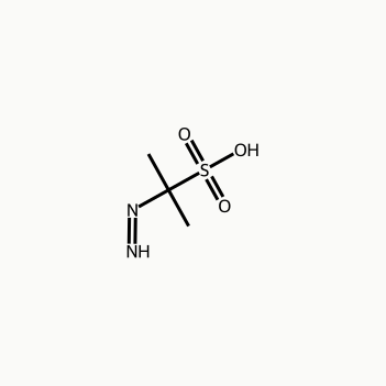 CC(C)(N=N)S(=O)(=O)O